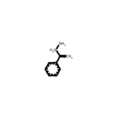 C=C([SiH2][SiH3])c1ccccc1